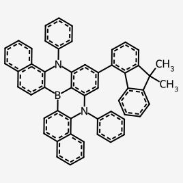 CC1(C)c2ccccc2-c2c(-c3cc4c5c(c3)N(c3ccccc3)c3c(ccc6ccccc36)B5c3ccc5ccccc5c3N4c3ccccc3)cccc21